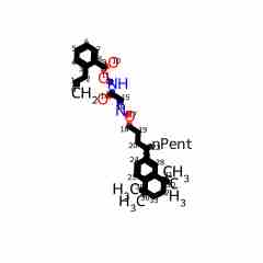 C=CCc1ccccc1C(=O)ONC(=O)C=NOCCCC(CCCCC)c1ccc2c(c1)C(C)(C)CCC2(C)C